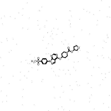 CS(=O)(=O)c1ccc(-n2ncc3c(OC4CCN(C(=O)OC5CCOC5)CC4)ncnc32)cc1